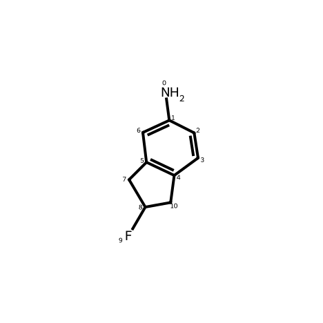 Nc1ccc2c(c1)CC(F)C2